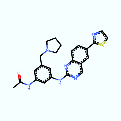 CC(=O)Nc1cc(CN2CCCC2)cc(Nc2ncc3cc(-c4nccs4)ccc3n2)c1